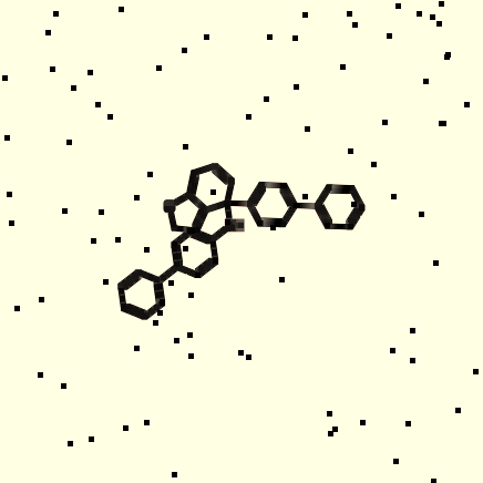 C1=CC(Nc2ccc(-c3ccccc3)cc2)(c2ccc(-c3ccccc3)cc2)C2=CCOC2=C1